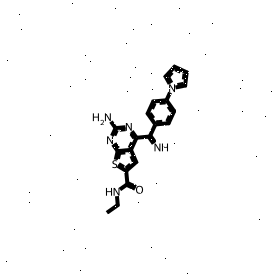 CCNC(=O)c1cc2c(C(=N)c3ccc(-n4cccc4)cc3)nc(N)nc2s1